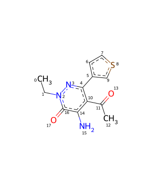 CCn1nc(-c2ccsc2)c(C(C)=O)c(N)c1=O